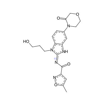 Cc1cc(C(=O)/N=c2\[nH]c3cc(N4CCOCC4=O)ccc3n2CCCO)no1